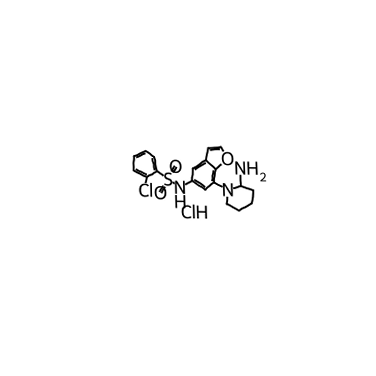 Cl.NC1CCCCN1c1cc(NS(=O)(=O)c2ccccc2Cl)cc2ccoc12